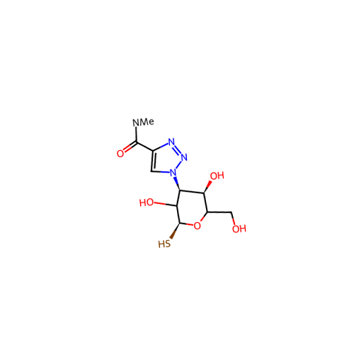 CNC(=O)c1cn([C@@H]2C(O)[C@H](S)OC(CO)[C@@H]2O)nn1